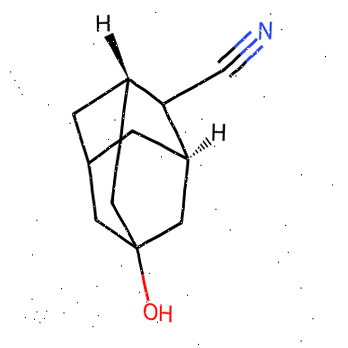 N#CC1[C@@H]2CC3C[C@H]1CC(O)(C3)C2